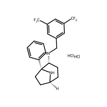 Cl.Cl.FC(F)(F)c1cc(CN[C@@H]2CC[C@H]3CC[C@]2(c2ccccc2)N3)cc(C(F)(F)F)c1